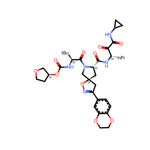 CCC[C@H](NC(=O)[C@@H]1C[C@]2(CC(c3ccc4c(c3)OCCO4)=NO2)CN1C(=O)[C@@H](NC(=O)O[C@H]1CCOC1)C(C)(C)C)C(=O)C(=O)NC1CC1